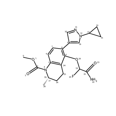 COC(=O)N1c2ccc(-c3cnn(C4CC4)c3)c(OC(F)C(N)=O)c2CC[C@@H]1C